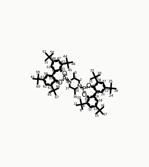 CC1CN(p2oc3c(C(C)(C)C)cc(C(C)(C)C)cc3c3cc(C(C)(C)C)cc(C(C)(C)C)c3o2)C(C)CN1p1oc2c(C(C)(C)C)cc(C(C)(C)C)cc2c2cc(C(C)(C)C)cc(C(C)(C)C)c2o1